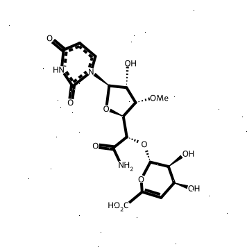 CO[C@H]1[C@@H](O)[C@H](n2ccc(=O)[nH]c2=O)O[C@@H]1[C@H](O[C@H]1OC(C(=O)O)=C[C@H](O)[C@@H]1O)C(N)=O